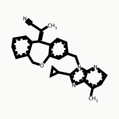 CC(C#N)=C1c2ccccc2COc2cc(Cn3c(C4CC4)nc4c(C)ccnc43)ccc21